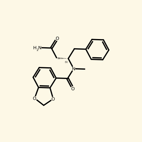 CN(C(=O)c1cccc2c1OCO2)[C@H](CC(N)=O)Cc1ccccc1